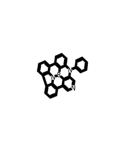 c1ccc(N2c3cccc4c3B3c5c(cncc52)-c2cccc5c6cccc-4c6n3c25)cc1